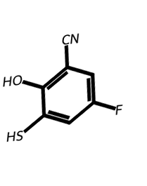 N#Cc1cc(F)cc(S)c1O